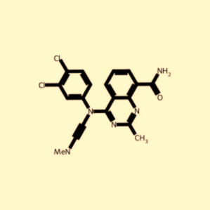 CNC#CN(c1ccc(Cl)c(Cl)c1)c1nc(C)nc2c(C(N)=O)cccc12